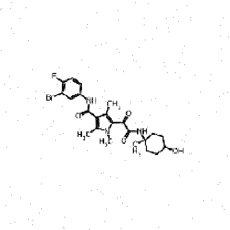 Cc1c(C(=O)Nc2ccc(F)c(Br)c2)c(C)n(C)c1C(=O)C(=O)N[C@]1(C)CC[C@@H](O)CC1